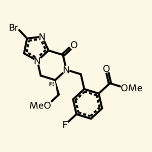 COC[C@H]1Cn2cc(Br)nc2C(=O)N1Cc1cc(F)ccc1C(=O)OC